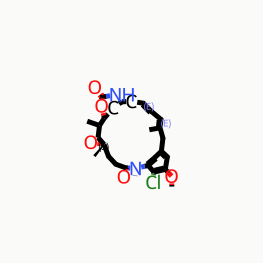 COc1cc2cc(c1Cl)N(C)C(=O)CC[C@]1(C)OC1C(C)C1CC(C/C=C/C=C(\C)C2)NC(=O)O1